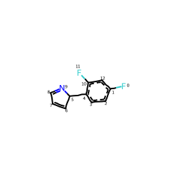 Fc1ccc(C2C=CC=N2)c(F)c1